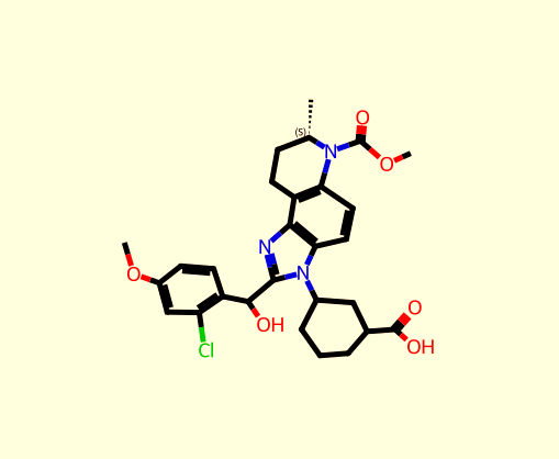 COC(=O)N1c2ccc3c(nc(C(O)c4ccc(OC)cc4Cl)n3C3CCCC(C(=O)O)C3)c2CC[C@@H]1C